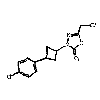 O=c1oc(CCl)nn1C1CC(c2ccc(Cl)cc2)C1